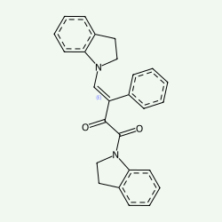 O=C(C(=O)N1CCc2ccccc21)/C(=C/N1CCc2ccccc21)c1ccccc1